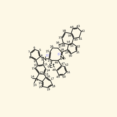 CCC1/C(n2c3ccccc3c3cc4c(cc32)-c2ccccc2C4(C)C)=C\CC/C(c2cccc3c2[C@@H](C)C=CC2=C3CCC=C2)=N\C1c1ccccc1